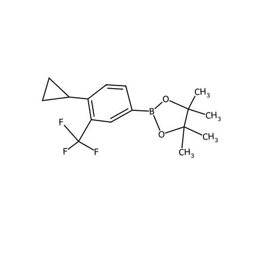 CC1(C)OB(c2ccc(C3CC3)c(C(F)(F)F)c2)OC1(C)C